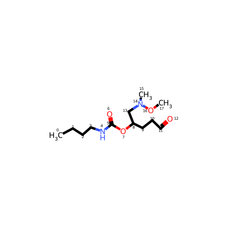 CCCCNC(=O)OC(CCC=O)CN(C)OC